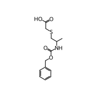 CC(CSCC(=O)O)NC(=O)OCc1ccccc1